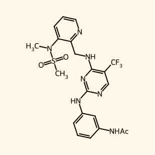 CC(=O)Nc1cccc(Nc2ncc(C(F)(F)F)c(NCc3ncccc3N(C)S(C)(=O)=O)n2)c1